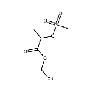 CC(OS(C)(=O)=O)C(=O)OCC#N